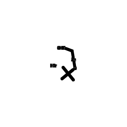 Br.CC(C)(C)[O][Zn][CH2]C=O